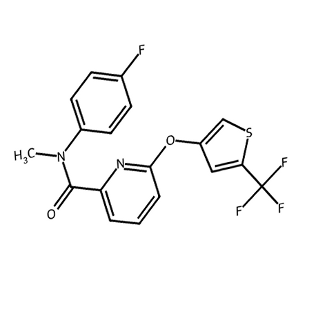 CN(C(=O)c1cccc(Oc2csc(C(F)(F)F)c2)n1)c1ccc(F)cc1